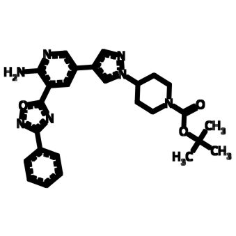 CC(C)(C)OC(=O)N1CCC(n2cc(-c3cnc(N)c(-c4nc(-c5ccccc5)no4)c3)cn2)CC1